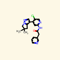 CC1(C)Cc2c(-c3cc(NC(=O)Cc4cccnc4)ncc3Cl)cnn2C1